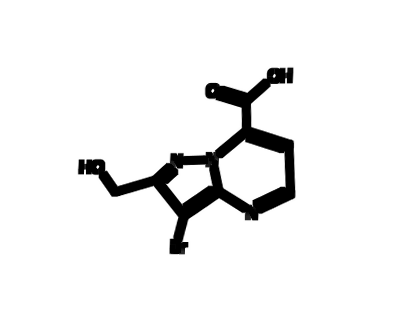 O=C(O)c1ccnc2c(Br)c(CO)nn12